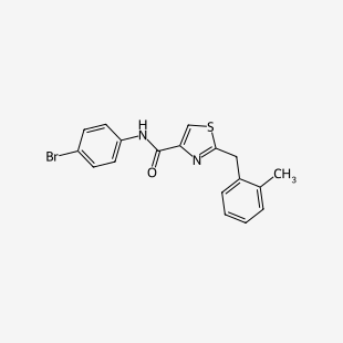 Cc1ccccc1Cc1nc(C(=O)Nc2ccc(Br)cc2)cs1